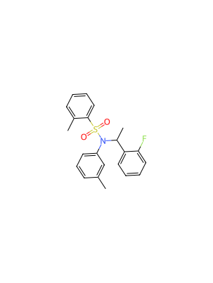 Cc1cccc(N(C(C)c2ccccc2F)S(=O)(=O)c2ccccc2C)c1